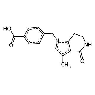 Cc1cn(Cc2ccc(C(=O)O)cc2)c2c1C(=O)NCC2